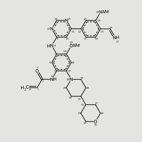 C=CC(=O)Nc1cc(Nc2cc(-c3ccc(C=N)c(NC)c3)ncn2)c(OC)cc1N1CCC(C2CCOCC2)CC1